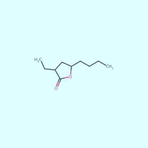 CCCCC1CC(CC)C(=O)O1